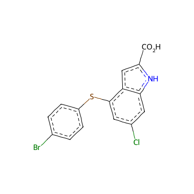 O=C(O)c1cc2c(Sc3ccc(Br)cc3)cc(Cl)cc2[nH]1